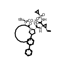 C=C[C@@H]1C[C@]1(NC(=O)[C@@H]1C[C@@]2(c3ccc(-c4ccccc4)cc3)CN1C(=O)[C@@H](N(C(=O)O)C(C)(C)C)CCCCCCCCCS2)C(=O)NS(=O)(=O)C1CC1